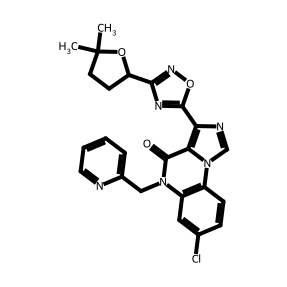 CC1(C)CCC(c2noc(-c3ncn4c3c(=O)n(Cc3ccccn3)c3cc(Cl)ccc34)n2)O1